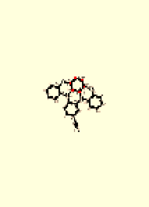 N#Cc1ccc(N2c3ccccc3Oc3ccccc32)c(N2c3ccccc3Oc3ccccc32)c1